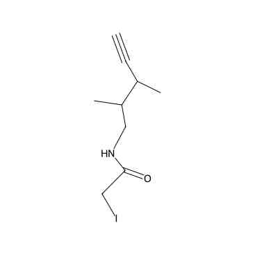 C#CC(C)C(C)CNC(=O)CI